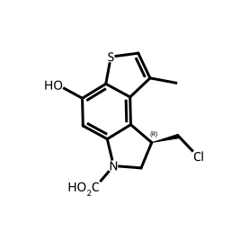 Cc1csc2c(O)cc3c(c12)[C@@H](CCl)CN3C(=O)O